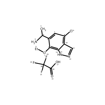 CCOc1c(C(C)N)cc(Cl)c2cn[nH]c12.O=C(O)C(F)(F)F